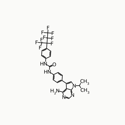 CC(C)n1cc(-c2ccc(NC(=O)Nc3ccc(C(F)(C(F)(F)F)C(F)(F)C(F)(F)F)cc3)cc2)c2c(N)ncnc21